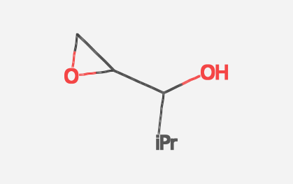 CC(C)C(O)C1CO1